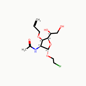 C=CCO[C@@H]1[C@H](NC(C)=O)[C@@H](OCCBr)O[C@@H]1[C@@H](O)CO